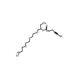 CCNCCOCCOCCOCC(CC#N)OC(=O)NCC#CC(C)C